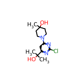 CC1(O)CCN(c2cc(C(C)(C)O)nc(Cl)n2)CC1